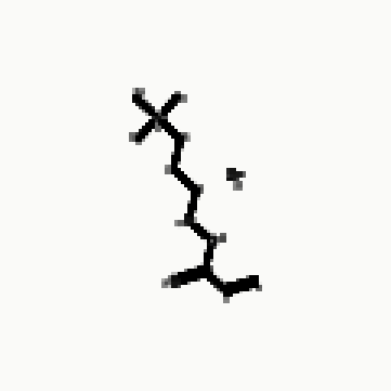 C=CC(=O)OOCCC[N+](C)(C)C.[Br-]